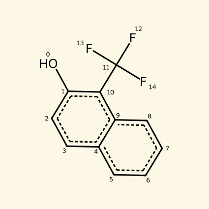 Oc1ccc2ccccc2c1C(F)(F)F